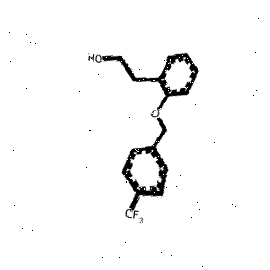 OCCc1ccccc1OCc1ccc(C(F)(F)F)cc1